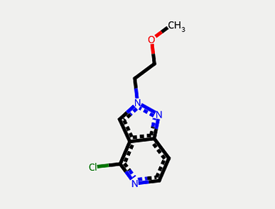 COCCn1cc2c(Cl)nccc2n1